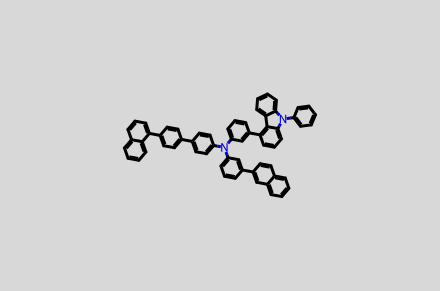 c1ccc(-n2c3ccccc3c3c(-c4cccc(N(c5ccc(-c6ccc(-c7cccc8ccccc78)cc6)cc5)c5cccc(-c6ccc7ccccc7c6)c5)c4)cccc32)cc1